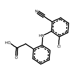 N#Cc1cccc(Cl)c1Nc1ccccc1CC(=O)O